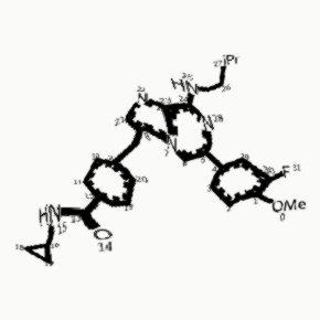 COc1ccc(-c2cn3c(-c4ccc(C(=O)NC5CC5)cc4)cnc3c(NCC(C)C)n2)cc1F